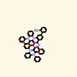 N#Cc1ccc(N2c3ccccc3N(c3ccccc3)c3ccccc32)c(-c2nc(-c3ccccc3)nc(-c3ccc(-c4ccccc4C#N)cc3N3c4ccccc4N(c4ccccc4)c4ccccc43)n2)c1